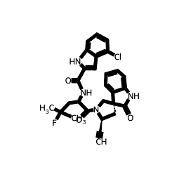 C#C[C@@H]1C[C@@]2(CN1C(=O)C(CC(C)(C)F)NC(=O)c1cc3c(Cl)cccc3[nH]1)C(=O)Nc1ccccc12